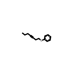 CCCC#CCCOc1cc[c]cc1